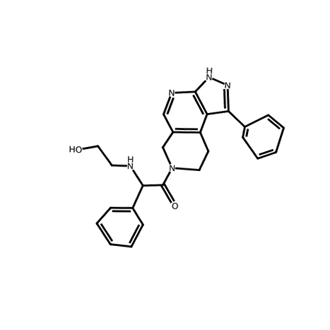 O=C(C(NCCO)c1ccccc1)N1CCc2c(cnc3[nH]nc(-c4ccccc4)c23)C1